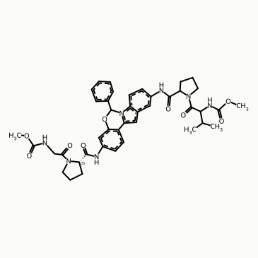 COC(=O)NCC(=O)N1CCC[C@H]1C(=O)Nc1ccc2c(c1)OC(c1ccccc1)n1c-2cc2cc(NC(=O)C3CCCN3C(=O)C(NC(=O)OC)C(C)C)ccc21